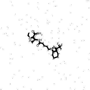 CCn1ncc(NC(=O)CCCCn2nc(C(F)(F)F)c3c2CCCC3)c1C(N)=O